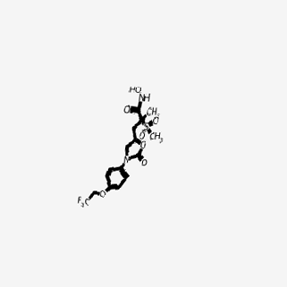 CC(CC1CN(c2ccc(OCC(F)(F)F)cc2)C(=O)O1)(C(=O)NO)S(C)(=O)=O